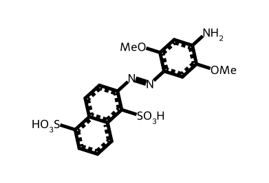 COc1cc(N=Nc2ccc3c(S(=O)(=O)O)cccc3c2S(=O)(=O)O)c(OC)cc1N